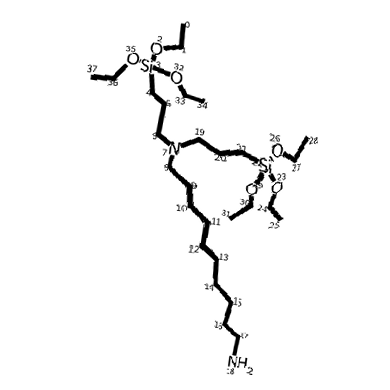 CCO[Si](CCCN(CCCCCCCCCCN)CCC[Si](OCC)(OCC)OCC)(OCC)OCC